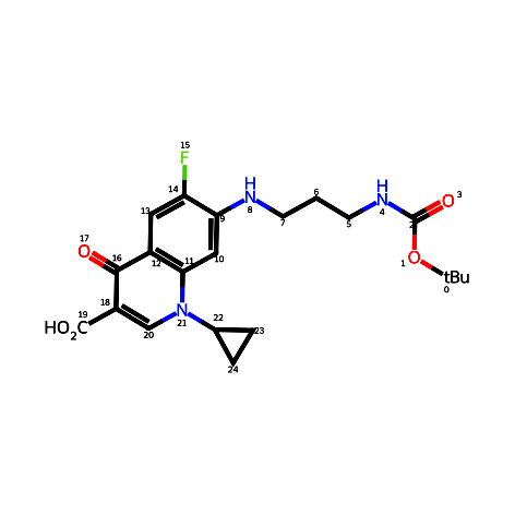 CC(C)(C)OC(=O)NCCCNc1cc2c(cc1F)c(=O)c(C(=O)O)cn2C1CC1